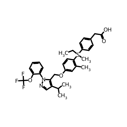 CCS(C)(c1ccc(CC(=O)O)cc1)c1ccc(OCc2c(C(C)C)cnn2-c2ccccc2OC(F)(F)F)cc1C